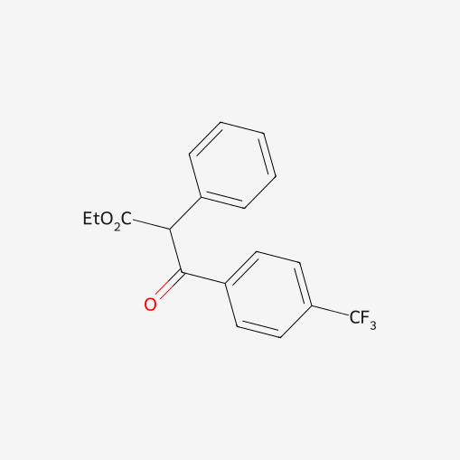 CCOC(=O)C(C(=O)c1ccc(C(F)(F)F)cc1)c1ccccc1